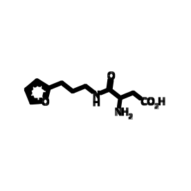 NC(CC(=O)O)C(=O)NCCCc1ccco1